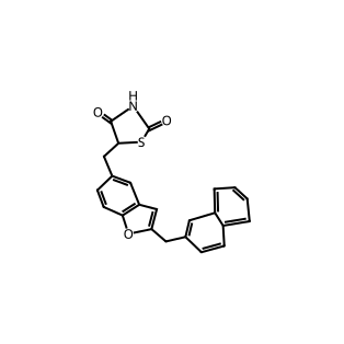 O=C1NC(=O)C(Cc2ccc3oc(Cc4ccc5ccccc5c4)cc3c2)S1